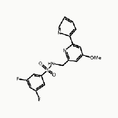 COc1cc(CNS(=O)(=O)c2cc(F)cc(F)c2)nc(-c2ccccn2)c1